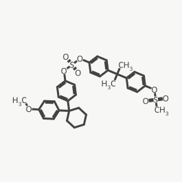 COc1ccc(C2(c3ccc(OS(=O)(=O)Oc4ccc(C(C)(C)c5ccc(OS(C)(=O)=O)cc5)cc4)cc3)CCCCC2)cc1